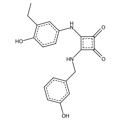 CCc1cc(Nc2c(NCc3cccc(O)c3)c(=O)c2=O)ccc1O